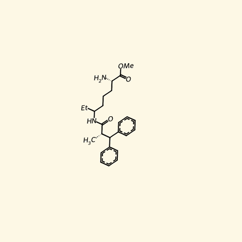 CCC(CCC[C@H](N)C(=O)OC)NC(=O)[C@@H](C)C(c1ccccc1)c1ccccc1